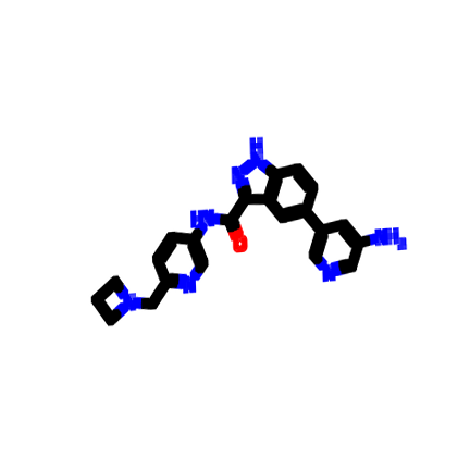 Nc1cncc(-c2ccc3[nH]nc(C(=O)Nc4ccc(CN5CCC5)nc4)c3c2)c1